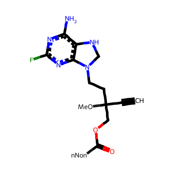 C#CC(CCN1CNc2c(N)nc(F)nc21)(COC(=O)CCCCCCCCC)OC